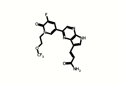 NC(=O)C=Cc1c[nH]c2ncc(-c3cc(F)c(=O)n(CCOC(F)(F)F)c3)nc12